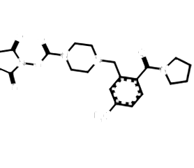 O=C(ON1C(=O)CCC1=O)N1CCN(Cc2cc(C(F)(F)F)ccc2C(=O)N2CCCC2)CC1